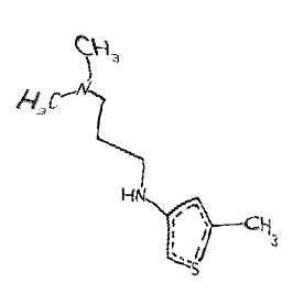 Cc1cc(NCCCN(C)C)cs1